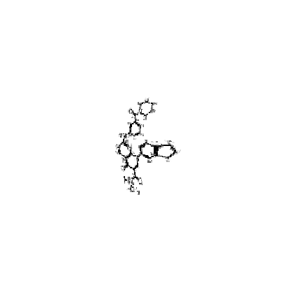 CNC(=O)c1cn(-c2ccc3c(c2)CCC3)c2nc(Nc3cccc(C(=O)N4CCCCC4)c3)ncc2c1=O